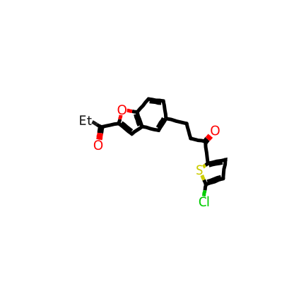 CCC(=O)c1cc2cc(CCC(=O)c3ccc(Cl)s3)ccc2o1